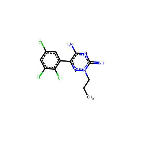 CCCn1nc(-c2cc(Cl)cc(Cl)c2Cl)c(N)nc1=N